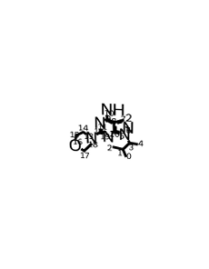 CC(C)C(C)n1ncc2c(N)nc(N3CCOCC3)nc21